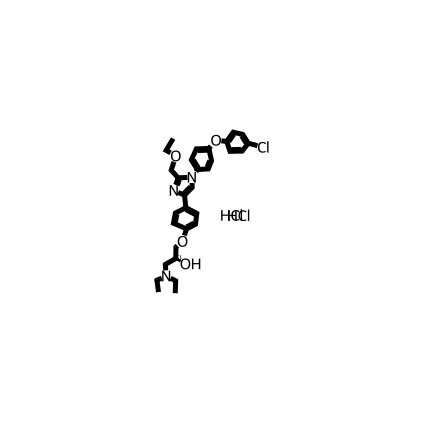 CCOCc1nc(-c2ccc(OC[C@@H](O)CN(CC)CC)cc2)cn1-c1ccc(Oc2ccc(Cl)cc2)cc1.Cl.Cl